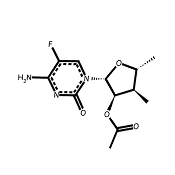 CC(=O)O[C@@H]1[C@H](C)[C@@H](C)O[C@H]1n1cc(F)c(N)nc1=O